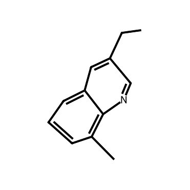 CCc1cnc2c(C)cccc2c1